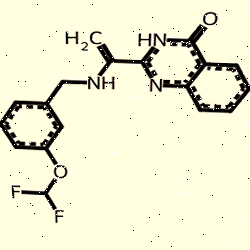 C=C(NCc1cccc(OC(F)F)c1)c1nc2ccccc2c(=O)[nH]1